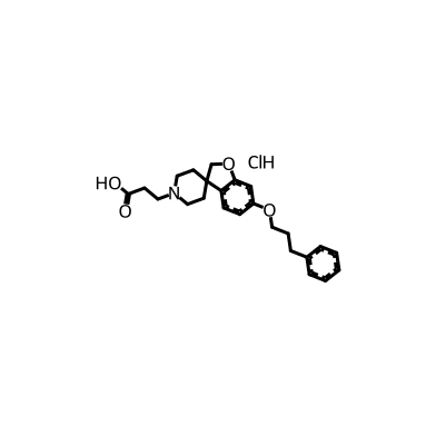 Cl.O=C(O)CCN1CCC2(CC1)COc1cc(OCCCc3ccccc3)ccc12